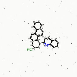 Cl.c1ccc2nc(C3CCCc4ccc5c(ccc6ccccc65)c43)ccc2c1